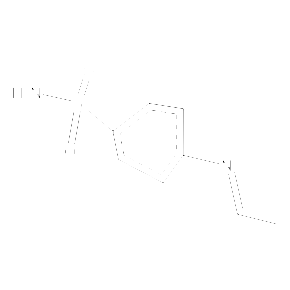 CC=Nc1ccc(S(N)(=O)=O)cc1